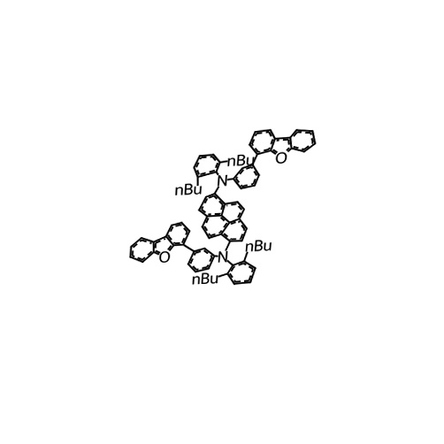 CCCCc1cccc(CCCC)c1N(c1cccc(-c2cccc3c2oc2ccccc23)c1)c1ccc2ccc3c(N(c4cccc(-c5cccc6c5oc5ccccc56)c4)c4c(CCCC)cccc4CCCC)ccc4ccc1c2c43